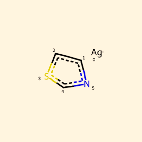 [Ag].c1cscn1